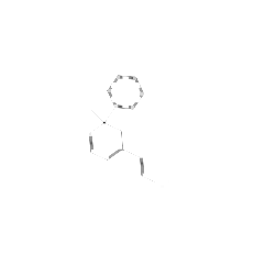 CCCC=CC1=CC=CC(C)(c2ccccc2)C1